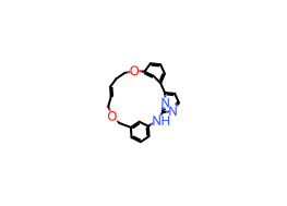 C1=C/COCc2cccc(c2)Nc2nccc(n2)-c2cccc(c2)OCC/1